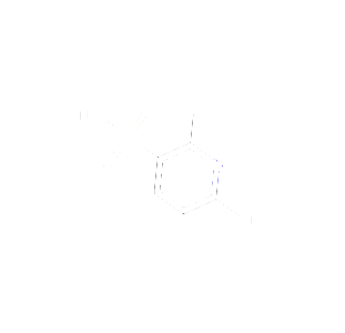 Cc1ccc(S(C)(=O)=O)c(C)n1